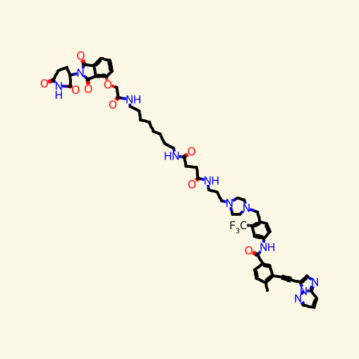 Cc1ccc(C(=O)Nc2ccc(CN3CCN(CCCNC(=O)CCC(=O)NCCCCCCCCNC(=O)COc4cccc5c4C(=O)N(C4CCC(=O)NC4=O)C5=O)CC3)c(C(F)(F)F)c2)cc1C#Cc1cnc2cccnn12